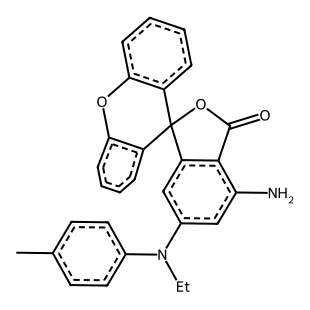 CCN(c1ccc(C)cc1)c1cc(N)c2c(c1)C1(OC2=O)c2ccccc2Oc2ccccc21